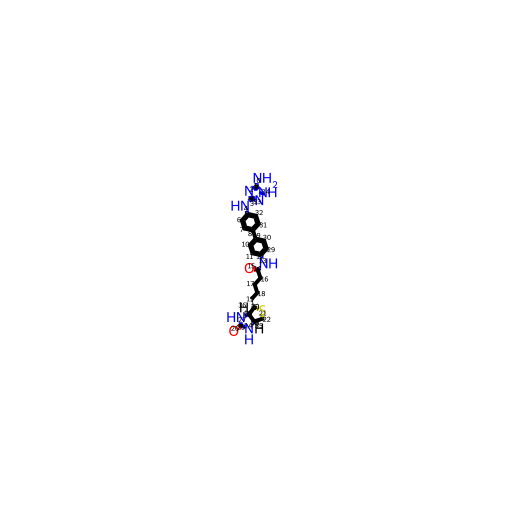 Nc1nc(Nc2ccc(-c3ccc(NC(=O)CCCC[C@@H]4SC[C@@H]5NC(=O)N[C@@H]54)cc3)cc2)n[nH]1